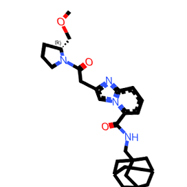 COC[C@H]1CCCN1C(=O)Cc1cn2c(C(=O)NCC34CC5CC(CC(C5)C3)C4)cccc2n1